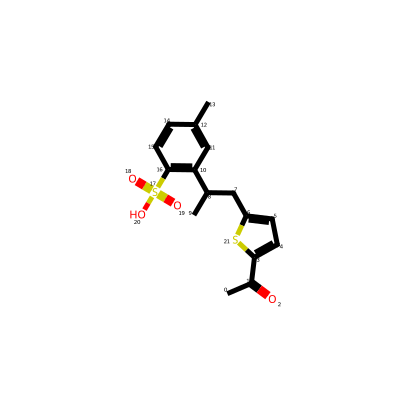 CC(=O)c1ccc(CC(C)c2cc(C)ccc2S(=O)(=O)O)s1